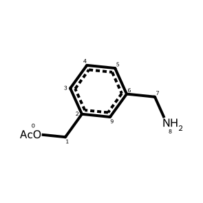 CC(=O)OCc1cccc(CN)c1